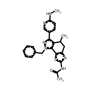 CNc1ccc(-c2nn(Cc3ccccc3)c3c2C(C)Cc2nc(NC(C)=O)sc2-3)cn1